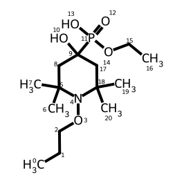 CCCON1C(C)(C)CC(O)(P(=O)(O)OCC)CC1(C)C